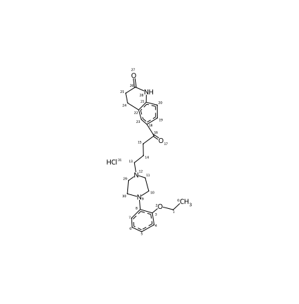 CCOc1ccccc1N1CCN(CCCC(=O)c2ccc3c(c2)CCC(=O)N3)CC1.Cl